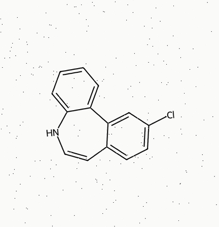 Clc1ccc2c(c1)-c1ccccc1NC=C2